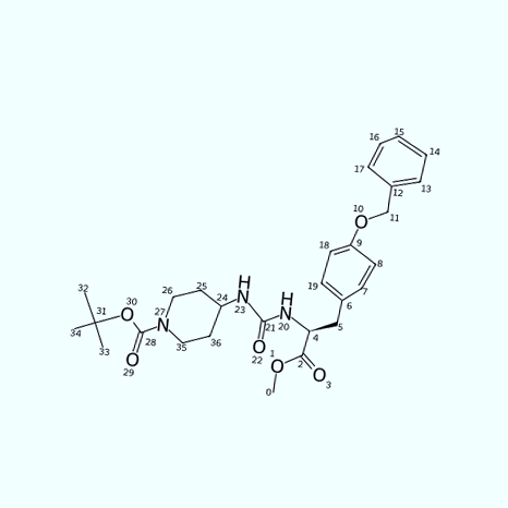 COC(=O)[C@H](Cc1ccc(OCc2ccccc2)cc1)NC(=O)NC1CCN(C(=O)OC(C)(C)C)CC1